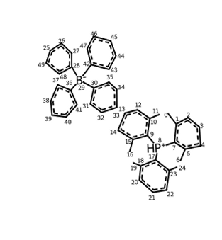 Cc1cccc(C)c1[PH+](c1c(C)cccc1C)c1c(C)cccc1C.c1ccc([B-](c2ccccc2)(c2ccccc2)c2ccccc2)cc1